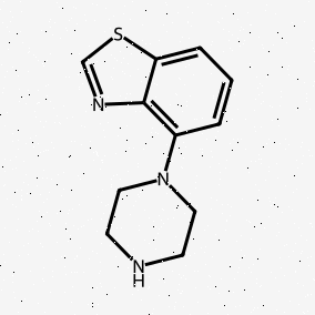 c1cc(N2CCNCC2)c2ncsc2c1